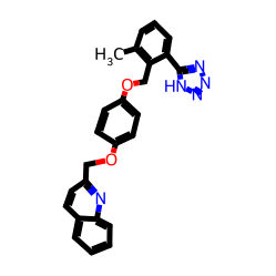 Cc1cccc(-c2nnn[nH]2)c1COc1ccc(OCc2ccc3ccccc3n2)cc1